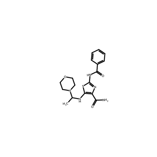 CC(Nc1sc(NC(=O)c2ccccc2)nc1C(N)=O)N1CCOCC1